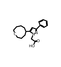 O=C(O)Cn1nc(-c2ccccc2)cc1C1CCCCCCCC1